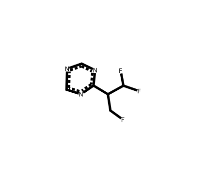 FCC(c1ncncn1)C(F)F